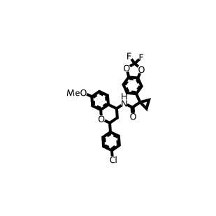 COc1ccc2c(c1)OC(c1ccc(Cl)cc1)CC2NC(=O)C1(c2ccc3c(c2)OC(F)(F)O3)CC1